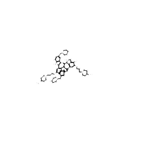 O=C(C1NCc2c(Cl)c(OCCCN3CCC(O)CC3)cc(-c3cc4cc(CN5CCCCC5)ccc4[nH]3)c21)C1NCc2c(Cl)c(OCCCN3CCC(O)CC3)cc(-c3cc4cc(CN5CCCCC5)ccc4[nH]3)c21